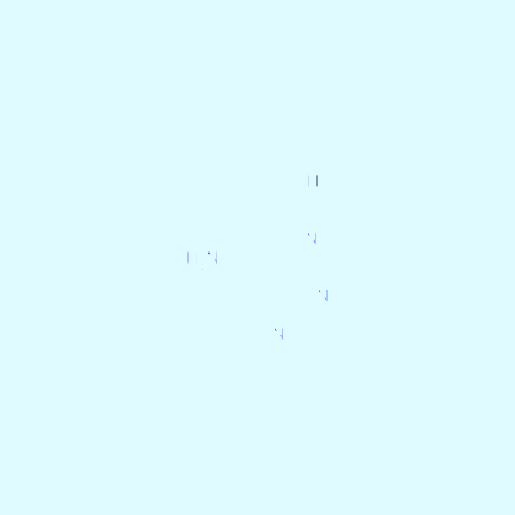 Cc1cc(N)c2cncnc2n1